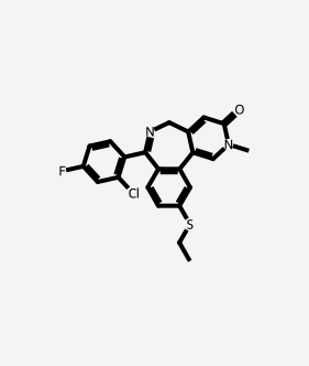 CCSc1ccc2c(c1)-c1cn(C)c(=O)cc1CN=C2c1ccc(F)cc1Cl